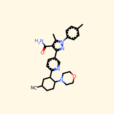 Cc1ccc(-n2nc(-c3ccc(C4CC(C#N)CCC4N4CCOCC4)nc3)c(C(N)=O)c2C)cc1